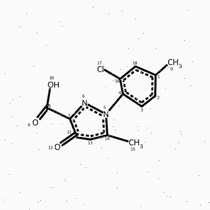 Cc1ccc(-n2nc(C(=O)O)c(=O)cc2C)c(Cl)c1